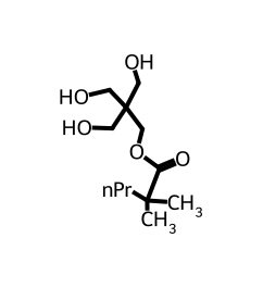 CCCC(C)(C)C(=O)OCC(CO)(CO)CO